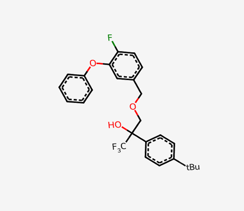 CC(C)(C)c1ccc(C(O)(COCc2ccc(F)c(Oc3ccccc3)c2)C(F)(F)F)cc1